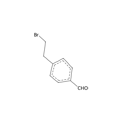 O=[C]c1ccc(CCBr)cc1